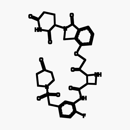 O=C1CCN(S(=O)(=O)Cc2ccc(F)c(NC(=O)C3CNC3C(=O)COc3cccc4c3CN(C3CCC(=O)NC3=O)C4=O)c2)CC1